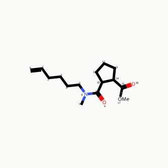 C=CCCCCN(C)C(=O)C1CCCC1C(=O)OC